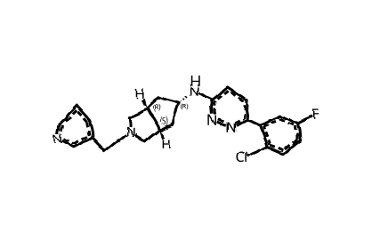 Fc1ccc(Cl)c(-c2ccc(N[C@@H]3C[C@@H]4CN(Cc5cccnc5)C[C@@H]4C3)nn2)c1